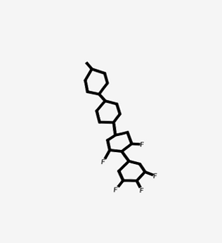 CC1CCC(C2CCC(C3CC(F)C(C4CC(F)C(F)C(F)C4)C(F)C3)CC2)CC1